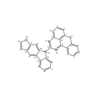 c1ccc2c(c1)Sc1cccc3nc(-n4c5ccccc5c5cc6ccoc6cc54)nc-2c13